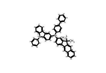 CC1(C)c2cc(N(c3ccc(-c4ccccc4)cc3)c3ccc4c(c3)c3ccccc3n4C3C=CC=CC3)ccc2-c2cc3ccccc3cc21